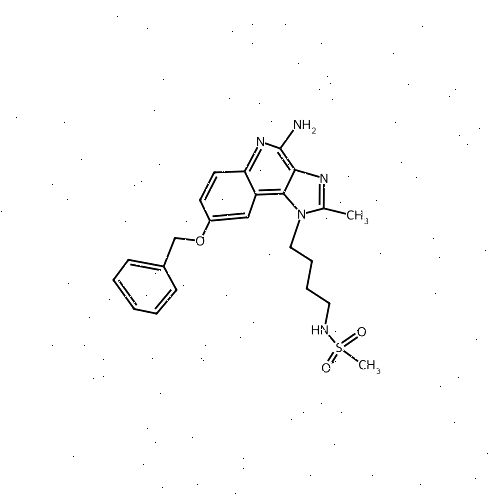 Cc1nc2c(N)nc3ccc(OCc4ccccc4)cc3c2n1CCCCNS(C)(=O)=O